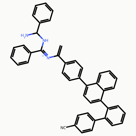 C=C(/N=C(\NC(N)c1ccccc1)c1ccccc1)c1ccc(-c2ccc(-c3ccccc3-c3ccc(C#N)cc3)c3ccccc23)cc1